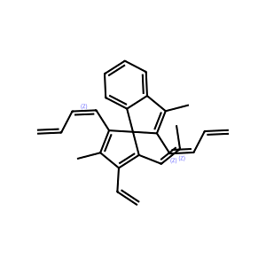 C=C/C=C\C1=C(C)C(C=C)=C(/C=C\C)C12C(/C=C\C=C)=C(C)c1ccccc12